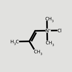 CC(C)=C[N+](C)(C)Cl